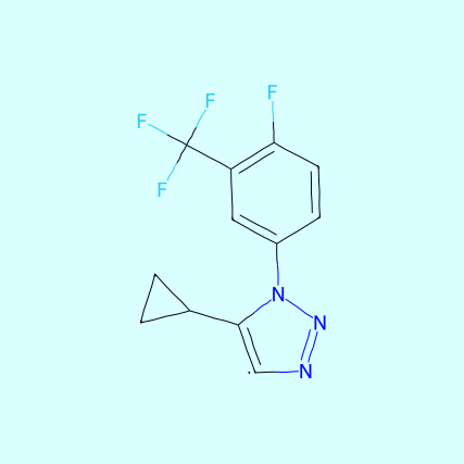 Fc1ccc(-n2nn[c]c2C2CC2)cc1C(F)(F)F